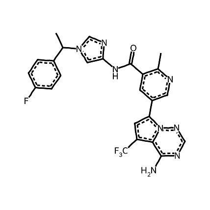 Cc1ncc(-c2cc(C(F)(F)F)c3c(N)ncnn23)cc1C(=O)Nc1cn(C(C)c2ccc(F)cc2)cn1